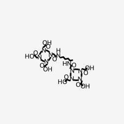 CC(CCCCNC(=O)CN1CCN(CC(=O)O)CCN(CC(=O)O)CCN(CC(=O)O)CC1)NC(=O)CN1CCN(CC(=O)O)CCN(CC(=O)O)CCN(CC(=O)O)CC1